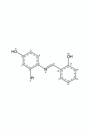 CC(C)c1cc(O)ccc1N=Cc1ccccc1O